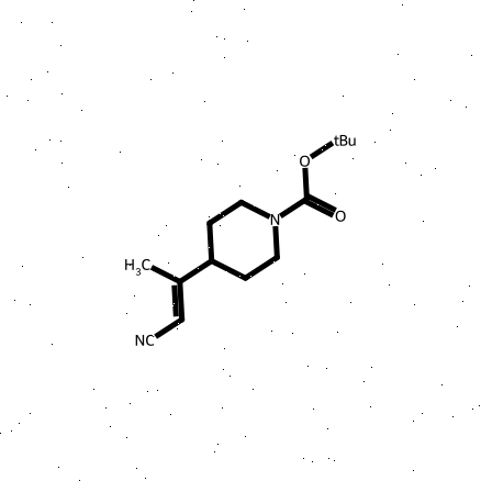 CC(=CC#N)C1CCN(C(=O)OC(C)(C)C)CC1